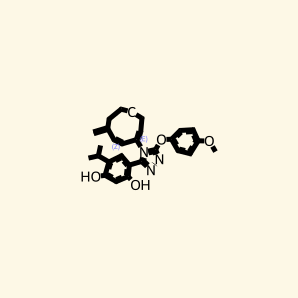 C=C1/C=C\C(n2c(Oc3ccc(OC)cc3)nnc2-c2cc(C(C)C)c(O)cc2O)=C/CCCC1